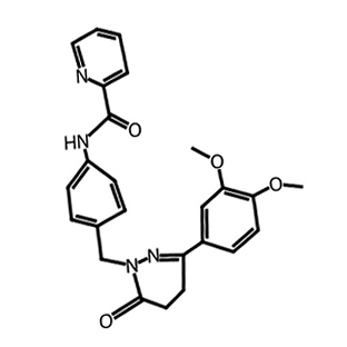 COc1ccc(C2=NN(Cc3ccc(NC(=O)c4ccccn4)cc3)C(=O)CC2)cc1OC